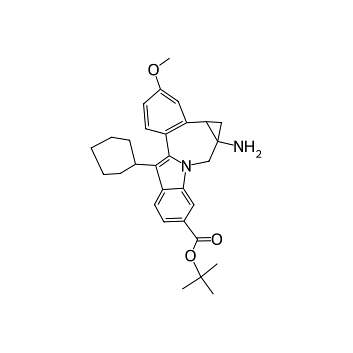 COc1ccc2c(c1)C1CC1(N)Cn1c-2c(C2CCCCC2)c2ccc(C(=O)OC(C)(C)C)cc21